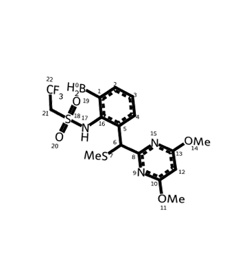 Bc1cccc(C(SC)c2nc(OC)cc(OC)n2)c1NS(=O)(=O)CC(F)(F)F